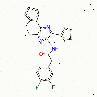 O=C(Cc1ccc(F)c(F)c1)Nc1nc2c(nc1-c1cccs1)-c1ccccc1CC2